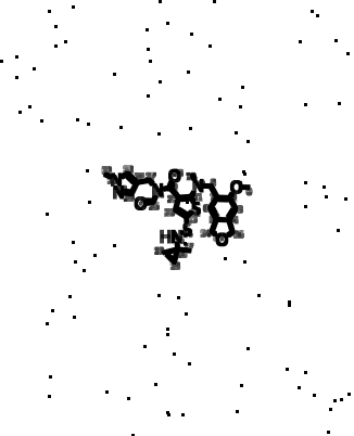 COc1cc2c(cc1CN(C)c1sc(SNC3(C)CC3)cc1C(=O)N(C=O)Cc1cnn(C)c1)COC2